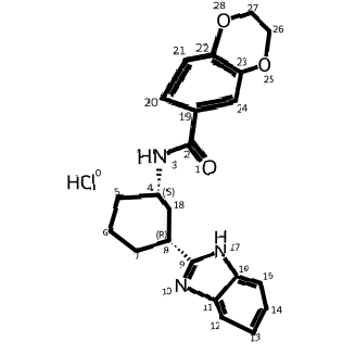 Cl.O=C(N[C@H]1CCC[C@@H](c2nc3ccccc3[nH]2)C1)c1ccc2c(c1)OCCO2